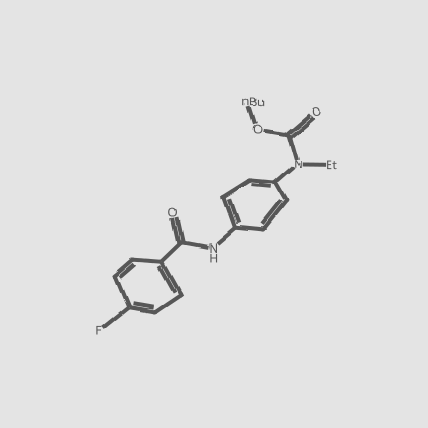 CCCCOC(=O)N(CC)c1ccc(NC(=O)c2ccc(F)cc2)cc1